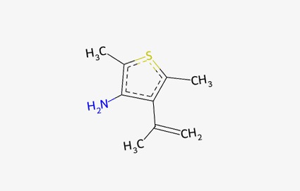 C=C(C)c1c(C)sc(C)c1N